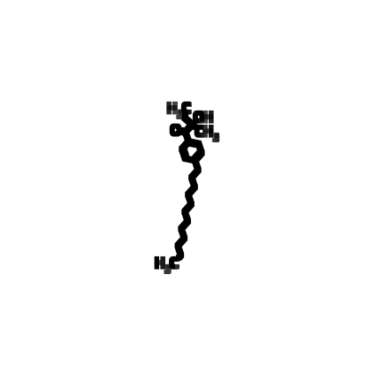 CCCCCCCCCCCCc1ccc(C(=O)C(C)(O)CC)cc1